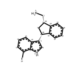 NC[C@H]1C[C@@H](c2c[nH]c3c(F)cccc23)c2ccccc21